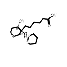 C1CCSSC1.O=C(O)CCCCC[C@]1(O)CSSC[C@@H]1O